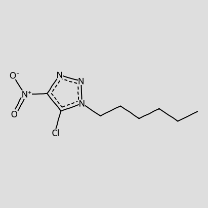 CCCCCCn1nnc([N+](=O)[O-])c1Cl